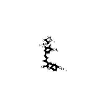 COc1ccc2nc(Cl)c(C(=O)/C=C/c3cc(C)c(OC(C)(C)C(=O)O)c(C)c3)cc2c1